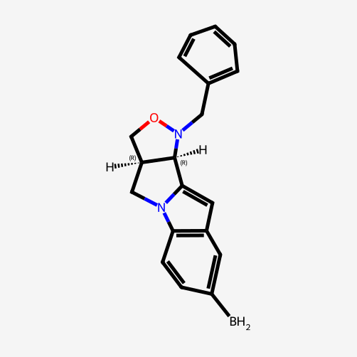 Bc1ccc2c(c1)cc1n2C[C@H]2CON(Cc3ccccc3)[C@@H]12